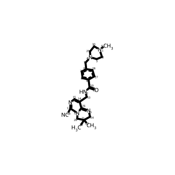 CN1CCN(Cc2ccc(C(=O)NCC3=CN=C(C#N)N4CC(C)(C)CN=C34)cc2)CC1